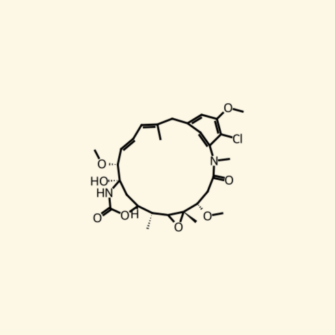 COc1cc2cc(c1Cl)N(C)C(=O)C[C@H](OC)[C@]1(C)OC1[C@H](C)[C@@H]1C[C@@](O)(NC(=O)O1)[C@H](OC)/C=C/C=C(\C)C2